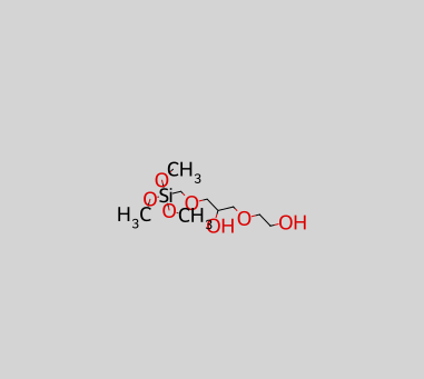 CO[Si](COCC(O)COCCO)(OC)OC